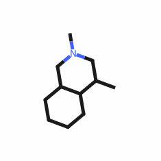 CC1CN(C)CC2CCCCC12